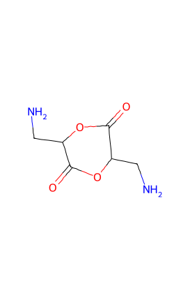 NCC1OC(=O)C(CN)OC1=O